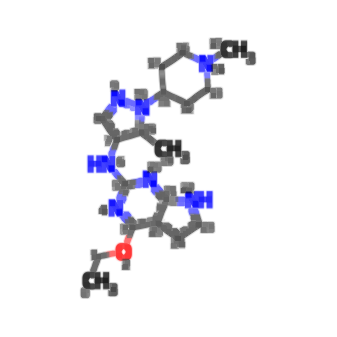 CCOc1nc(Nc2cnn(C3CCN(C)CC3)c2C)nc2[nH]ccc12